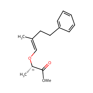 COC(=O)[C@H](C)OC=C(C)CCc1ccccc1